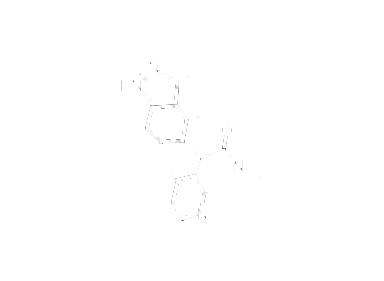 NC(=O)C(c1cccnc1)c1ccc2[nH]ncc2c1